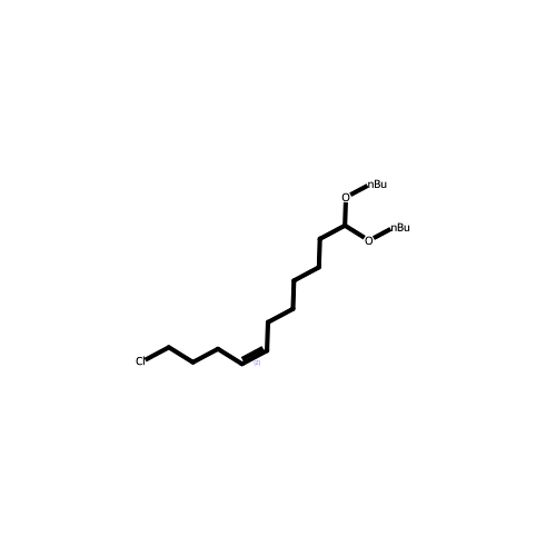 CCCCOC(CCCCC/C=C\CCCCl)OCCCC